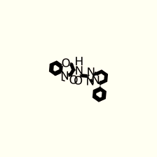 CN1C(=O)[C@@H](NC(=O)c2nc3n(n2)[C@@H](c2ccccc2)CCC3)COc2ccccc21